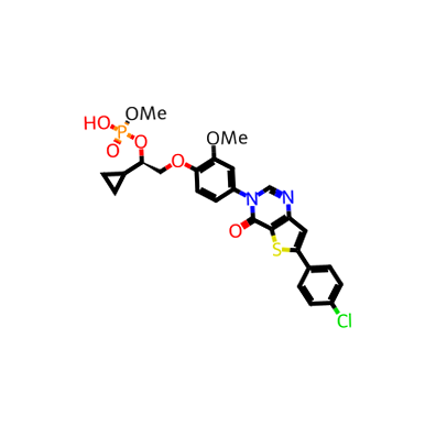 COc1cc(-n2cnc3cc(-c4ccc(Cl)cc4)sc3c2=O)ccc1OC[C@H](OP(=O)(O)OC)C1CC1